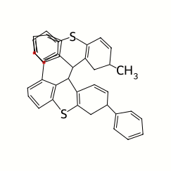 CC1C=CC2=C(C1)C(C1C3=C(CC(c4ccccc4)C=C3)Sc3cccc(-c4ccccc4)c31)c1ccccc1S2